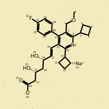 COCc1c(C2CCC2)nc(C2CCC2)c(/C=C/[C@@H](O)C[C@@H](O)CC(=O)[O-])c1-c1ccc(F)cc1.[Na+]